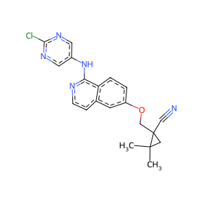 CC1(C)CC1(C#N)COc1ccc2c(Nc3cnc(Cl)nc3)nccc2c1